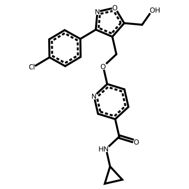 O=C(NC1CC1)c1ccc(OCc2c(-c3ccc(Cl)cc3)noc2CO)nc1